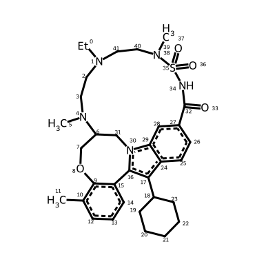 CCN1CCN(C)C2COc3c(C)cccc3-c3c(C4CCCCC4)c4ccc(cc4n3C2)C(=O)NS(=O)(=O)N(C)CC1